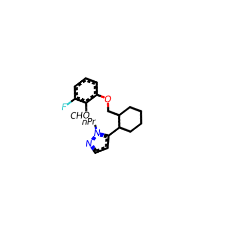 CCCn1nccc1C1CCCCC1COc1cccc(F)c1C=O